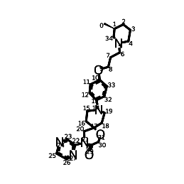 C[C@H]1CCCN(CCCOc2ccc(N3CCC4(CC3)CN(c3cnccn3)C(=O)CO4)cc2)C1